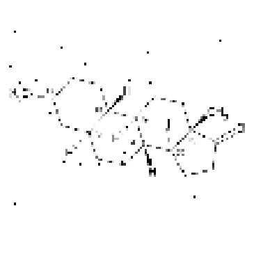 C[C@@H]1CC[C@H]2[C@@H](CC[C@@H]3[C@@H]2CC[C@]2(C)C(=O)CC[C@@H]32)C1